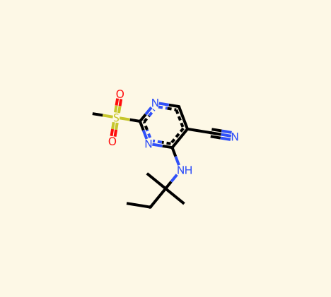 CCC(C)(C)Nc1nc(S(C)(=O)=O)ncc1C#N